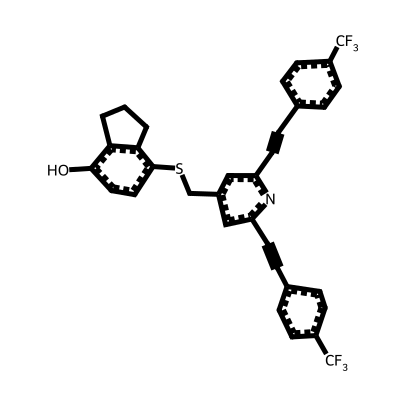 Oc1ccc(SCc2cc(C#Cc3ccc(C(F)(F)F)cc3)nc(C#Cc3ccc(C(F)(F)F)cc3)c2)c2c1CCC2